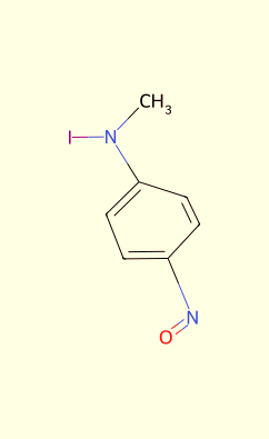 CN(I)c1ccc(N=O)cc1